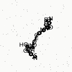 Cc1ncsc1-c1ccc(CNC(=O)[C@@H]2C[C@@H](O)CN2C(=O)[C@@H](NC(=O)COCC(F)CCOc2ccc(-c3ccc(N4C(=S)N(c5ccc(C#N)c(C(F)(F)F)c5F)C(=O)C4(C)C)cn3)cc2)C(C)(C)C)cc1